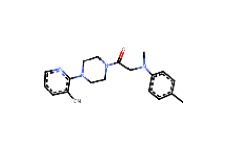 Cc1ccc(N(C)CC(=O)N2CCN(c3ncccc3C#N)CC2)cc1